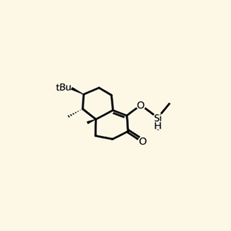 C[C@@H]1[C@@H](C(C)(C)C)CCC2=C(O[SiH](C)C)C(=O)CC[C@@]21C